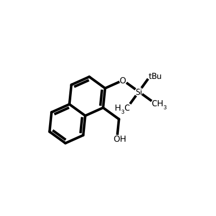 CC(C)(C)[Si](C)(C)Oc1ccc2ccccc2c1CO